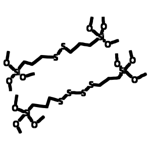 CO[Si](CCCSSCCC[Si](OC)(OC)OC)(OC)OC.CO[Si](CCCSSSSCCC[Si](OC)(OC)OC)(OC)OC